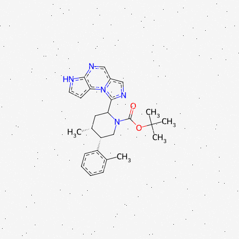 Cc1ccccc1[C@H]1CN(C(=O)OC(C)(C)C)C(c2ncc3cnc4[nH]ccc4n23)C[C@H]1C